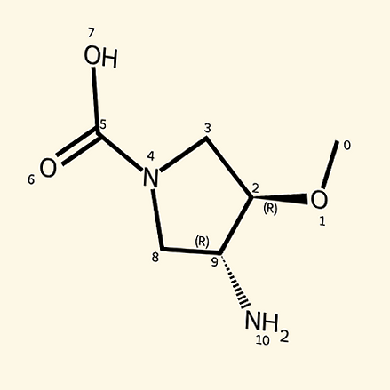 CO[C@@H]1CN(C(=O)O)C[C@H]1N